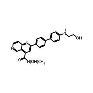 CN(O)C(=O)c1cc(-c2ccc(-c3ccc(NCCO)cc3)cc2)nc2ccncc12